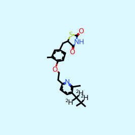 [2H]C(C)(C)C([2H])([2H])c1ccc(CCOc2ccc(CC3SC(=O)NC3=O)cc2C)nc1C